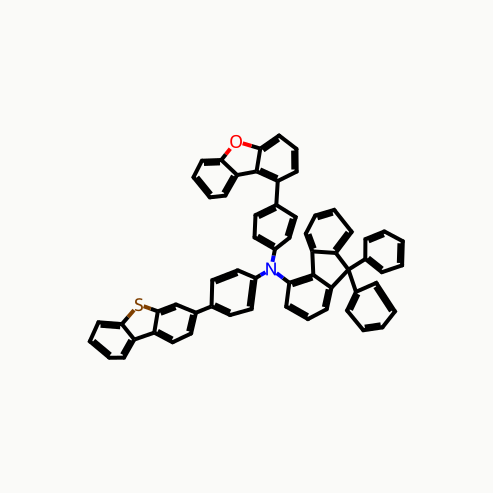 c1ccc(C2(c3ccccc3)c3ccccc3-c3c(N(c4ccc(-c5ccc6c(c5)sc5ccccc56)cc4)c4ccc(-c5cccc6oc7ccccc7c56)cc4)cccc32)cc1